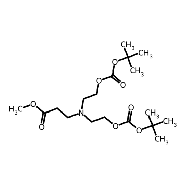 COC(=O)CCN(CCOC(=O)OC(C)(C)C)CCOC(=O)OC(C)(C)C